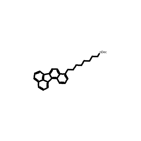 CCCCCCCCCCCCCCCCCCc1cccc2c3c(ccc12)-c1cccc2cccc-3c12